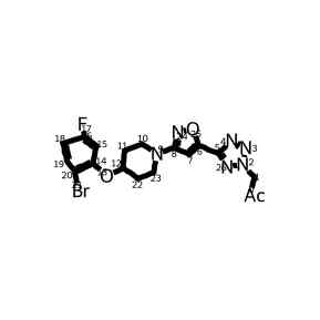 CC(=O)Cn1nnc(-c2cc(N3CCC(Oc4cc(F)ccc4Br)CC3)no2)n1